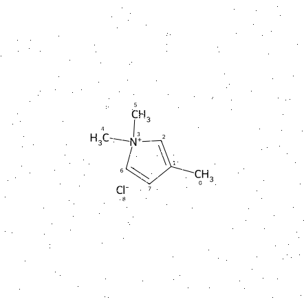 CC1=C[N+](C)(C)C=C1.[Cl-]